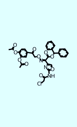 CC(=O)Oc1ccc(C(=O)CON=C(C(=O)OC(c2ccccc2)c2ccccc2)c2coc(NC(=O)CCl)n2)cc1OC(C)=O